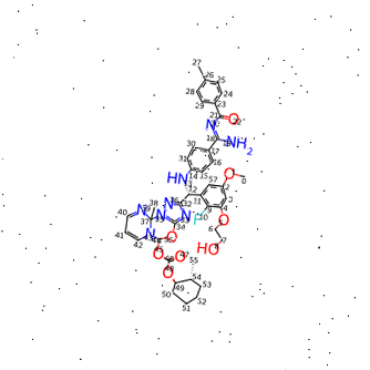 COc1cc(OCCO)c(F)c([C@@H](Nc2ccc(/C(N)=N/C(=O)c3ccc(C)cc3)cc2)c2nc3n(n2)C2(C)N=CC=CN2C(OC(=O)O[C@@H]2CCCC[C@H]2C)O3)c1